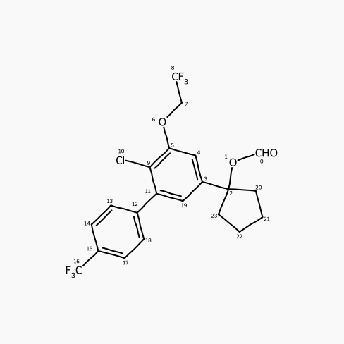 O=COC1(c2cc(OCC(F)(F)F)c(Cl)c(-c3ccc(C(F)(F)F)cc3)c2)CCCC1